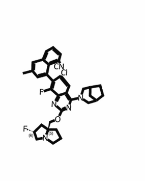 Cc1cc(-c2c(Cl)cc3c(N4CC5CCC(C5)C4)nc(OC[C@@]45CCCN4C[C@H](F)C5)nc3c2F)c2c(C#N)cccc2c1